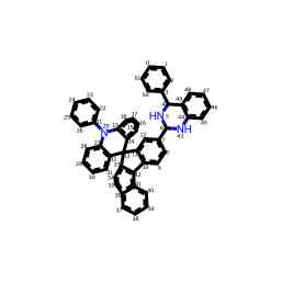 c1ccc(C2NC(c3ccc4c(c3)C3(c5ccccc5N(c5ccccc5)c5ccccc53)c3ccc5ccccc5c3-4)Nc3ccccc32)cc1